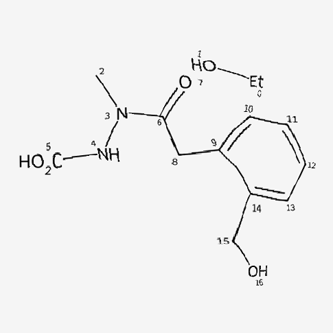 CCO.CN(NC(=O)O)C(=O)Cc1ccccc1CO